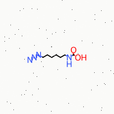 [N-]=[N+]=NCCCCCCNC(=O)O